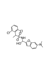 CC(c1c(Cl)cccc1Cl)S(=O)(=O)NC(O)c1cc2ccc(N(C)C)cc2o1